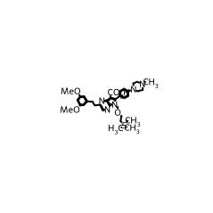 COc1cc(CCc2cnc3c(n2)c(C(=O)O)c(-c2ccc(N4CCN(C)CC4)cc2)n3COCCS(C)(C)C)cc(OC)c1